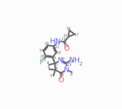 CN1C(=O)C(C)(C)C(C)(c2cc(NC(=O)C3CC3)ccc2F)N=C1N